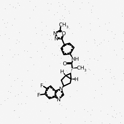 Cc1nnc(-c2ccc(NC(=O)[C@@H](C)[C@@H]3[C@@H]4CC(n5cnc6cc(F)c(F)cc65)C[C@@H]43)cc2)o1